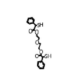 O=C(OCCOCCOC(=O)C(S)c1ccccc1)C(S)c1ccccc1